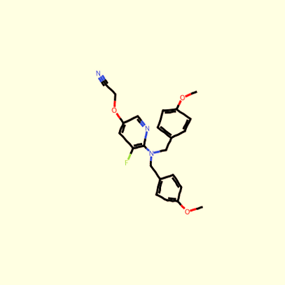 COc1ccc(CN(Cc2ccc(OC)cc2)c2ncc(OCC#N)cc2F)cc1